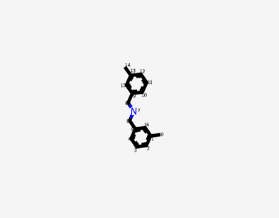 Cc1cccc(C[N]Cc2cccc(C)c2)c1